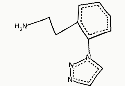 NCCc1ccccc1-n1ccnn1